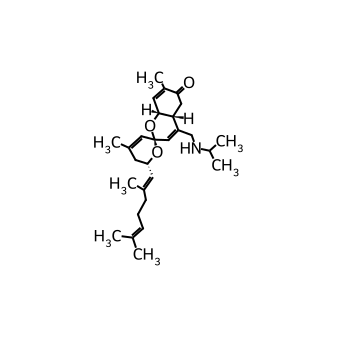 CC(C)=CCC/C(C)=C/[C@@H]1CC(C)=C[C@]2(C=C(CNC(C)C)[C@H]3CC(=O)C(C)=C[C@H]3O2)O1